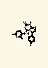 Cc1ccc(NC2=NC(=O)N(C)C3=NCC(c4ccc(F)cc4)N23)c(C)n1